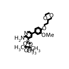 COc1cc(-c2cnc(N)c(B3OC(C)(C)C(C)(C)O3)c2)ccc1OCCC1COCCO1